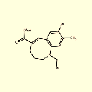 COC(=O)C1=Cc2cc(Br)c(C)cc2N(CC(C)C)CCC1